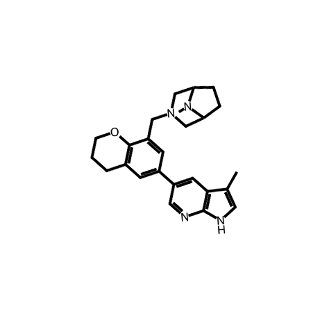 Cc1c[nH]c2ncc(-c3cc4c(c(CN5CC6CCC(C5)N6C)c3)OCCC4)cc12